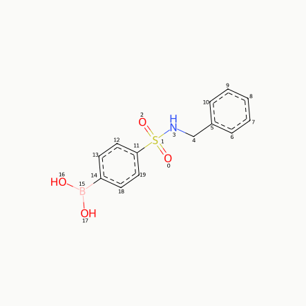 O=S(=O)(NCc1ccccc1)c1ccc(B(O)O)cc1